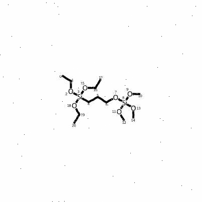 CCO[Si](CCCO[Si](OC)(OC)OC)(OCC)OCC